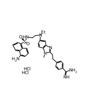 CCN(CCNS(=O)(=O)c1cccc2c(N)cccc12)c1ccc2c(c1)nc(CCc1ccc(C(=N)N)cc1)n2C.Cl.Cl